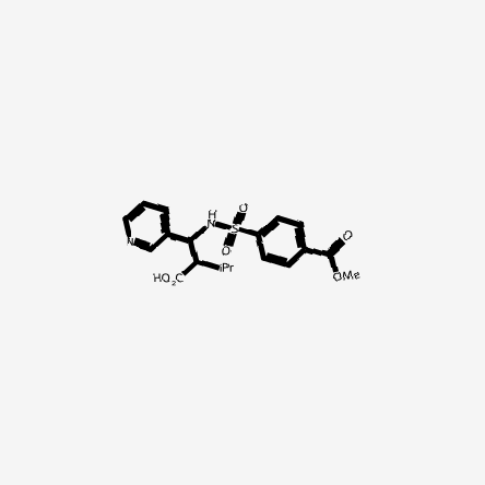 COC(=O)c1ccc(S(=O)(=O)NC(c2cccnc2)C(C(=O)O)C(C)C)cc1